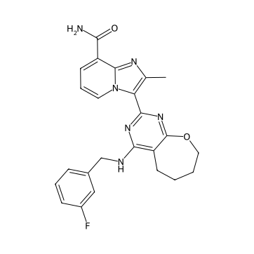 Cc1nc2c(C(N)=O)cccn2c1-c1nc(NCc2cccc(F)c2)c2c(n1)OCCCC2